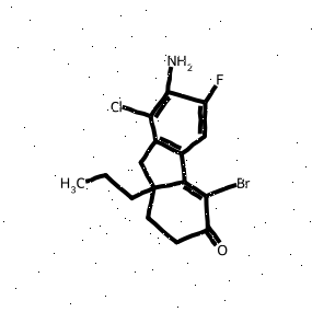 CCCC12CCC(=O)C(Br)=C1c1cc(F)c(N)c(Cl)c1C2